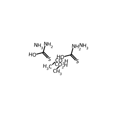 CC(=O)O.CC(=O)O.N.N.NC(O)=S.NC(O)=S